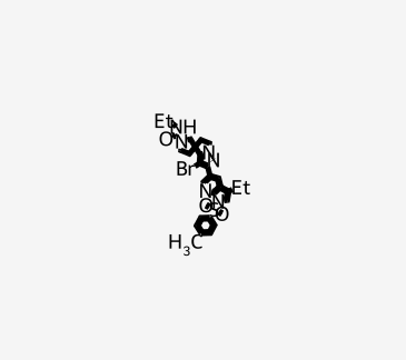 CCNC(=O)N1CCC2(CCn3nc(-c4cnc5c(c4)c(CC)cn5S(=O)(=O)c4ccc(C)cc4)c(Br)c32)C1